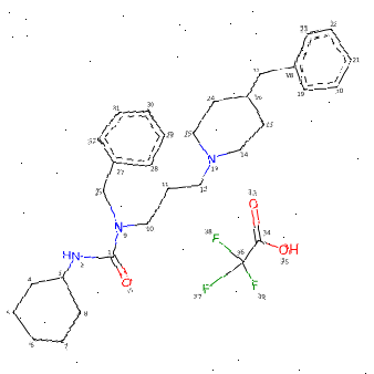 O=C(NC1CCCCC1)N(CCCN1CCC(Cc2ccccc2)CC1)Cc1ccccc1.O=C(O)C(F)(F)F